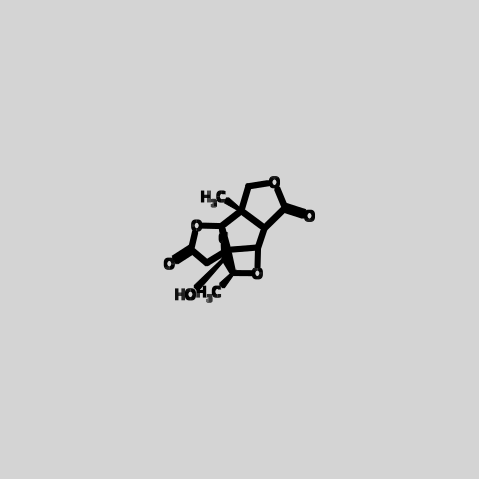 C[C@@]12COC(=O)C1C1O[C@]3(C)[C@@H](O)CC24OC(=O)CC143